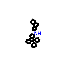 c1ccc(C2(c3ccccc3)c3ccccc3-c3ccc(Nc4ccc5c(ccc6ccccc65)c4)cc32)cc1